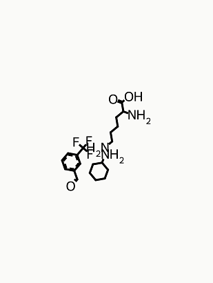 NC1CCCCC1.NCCCCC(N)C(=O)O.O=Cc1cccc(C(F)(F)F)c1